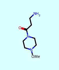 CON1CCN(C(=O)CCN)CC1